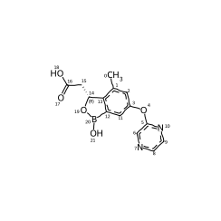 Cc1cc(Oc2cnccn2)cc2c1[C@@H](CC(=O)O)OB2O